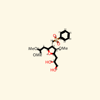 COC(CC1OC(C[C@H](O)CO)[C@H](OC)[C@H]1CS(=O)(=O)c1ccccc1)OC